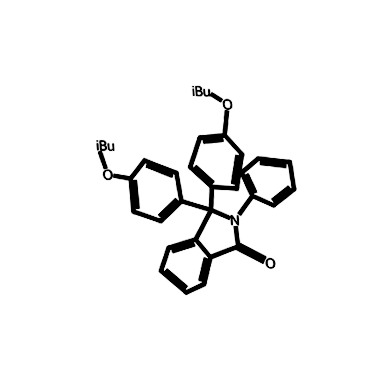 CCC(C)Oc1ccc(C2(c3ccc(OC(C)CC)cc3)c3ccccc3C(=O)N2c2ccccc2)cc1